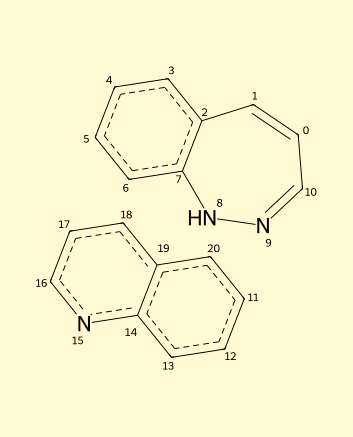 C1=Cc2ccccc2NN=C1.c1ccc2ncccc2c1